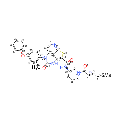 CSC/C=C/C(=O)N1CCC[C@@H](NC(=O)c2sc3nccc4c3c2NC(=O)N4c2ccc(Oc3ccccc3)cc2C)C1